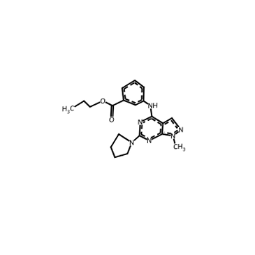 CCCOC(=O)c1cccc(Nc2nc(N3CCCC3)nc3c2cnn3C)c1